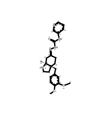 COc1ccc(C[C@@]23CCN[C@H]2CC(=NNC(=O)Nc2cccnc2)CC3)cc1OC